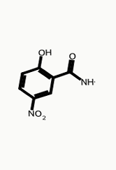 [NH]C(=O)c1cc([N+](=O)[O-])ccc1O